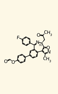 CC(=O)C[C@@H]1N=C(c2ccc(F)cc2)c2cc(-c3ccc(OC=O)cc3)ccc2-c2c(C)noc21